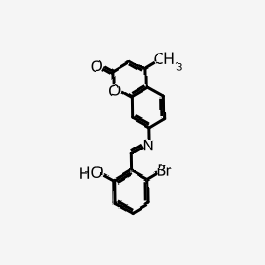 Cc1cc(=O)oc2cc(N=Cc3c(O)cccc3Br)ccc12